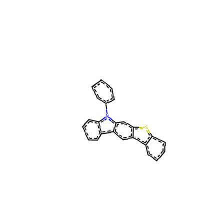 c1ccc(-n2c3ccccc3c3cc4c(cc32)sc2ccccc24)cc1